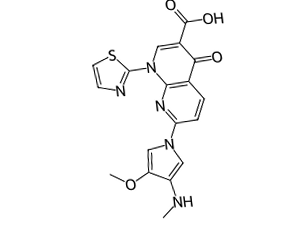 CNc1cn(-c2ccc3c(=O)c(C(=O)O)cn(-c4nccs4)c3n2)cc1OC